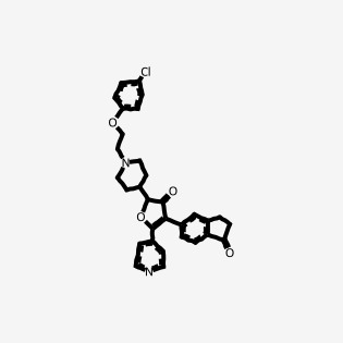 O=C1CCc2cc(C3=C(c4ccncc4)OC(C4CCN(CCOc5ccc(Cl)cc5)CC4)C3=O)ccc21